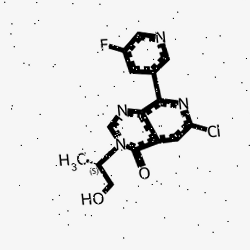 C[C@@H](CO)n1cnc2c(-c3cncc(F)c3)nc(Cl)cc2c1=O